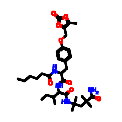 CCCCCC(=O)NC(Cc1ccc(OCc2oc(=O)oc2C)cc1)C(=O)NC(C(=O)NC(C)(C)CC(C)(C)C(N)=O)C(C)CC